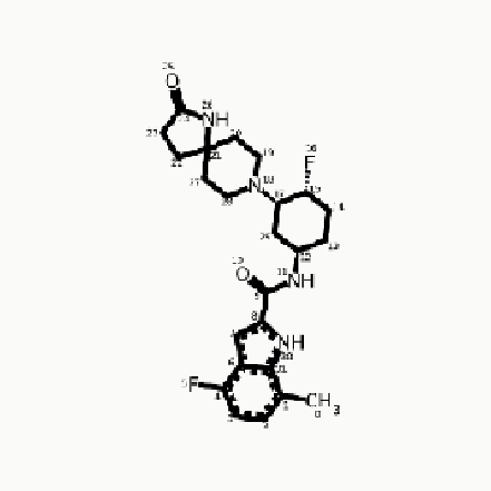 Cc1ccc(F)c2cc(C(=O)N[C@@H]3CC[C@@H](F)[C@H](N4CCC5(CCC(=O)N5)CC4)C3)[nH]c12